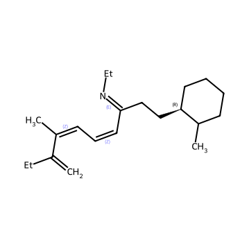 C=C(CC)\C(C)=C/C=C\C(CC[C@H]1CCCCC1C)=N\CC